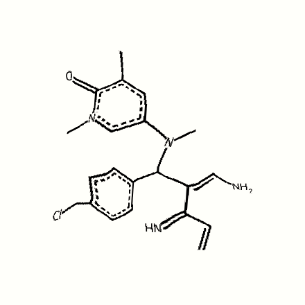 C=CC(=N)/C(=C\N)C(c1ccc(Cl)cc1)N(C)c1cc(C)c(=O)n(C)c1